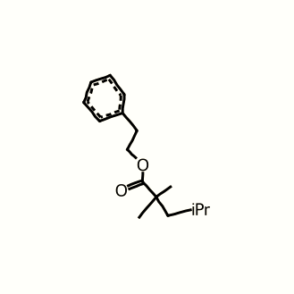 CC(C)CC(C)(C)C(=O)OCCc1ccccc1